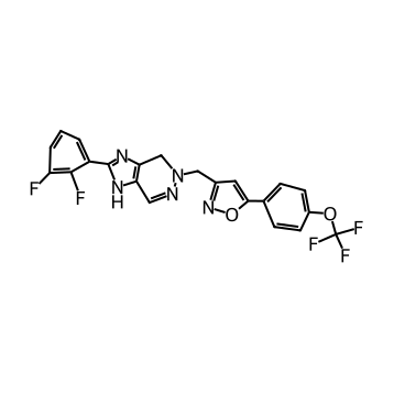 Fc1cccc(-c2nc3c([nH]2)C=NN(Cc2cc(-c4ccc(OC(F)(F)F)cc4)on2)C3)c1F